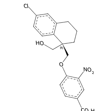 O=C(O)c1ccc(OC[C@]2(CO)CCCc3cc(Cl)ccc32)c([N+](=O)[O-])c1